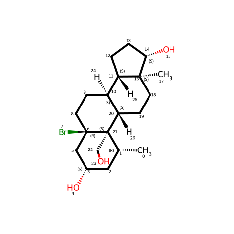 C[C@@H]1C[C@H](O)C[C@]2(Br)CC[C@H]3[C@@H]4CC[C@H](O)[C@@]4(C)CC[C@@H]3[C@@]12CO